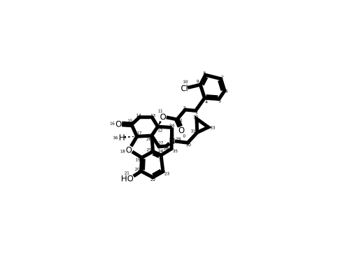 O=C(CCc1ccccc1Cl)O[C@@]12CCC(=O)[C@@H]3Oc4c(O)ccc5c4C31CCN(CC1CC1)C2C5